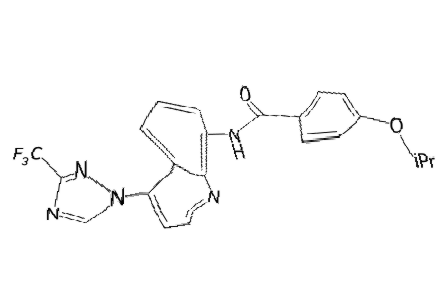 CC(C)Oc1ccc(C(=O)Nc2cccc3c(-n4cnc(C(F)(F)F)n4)ccnc23)cc1